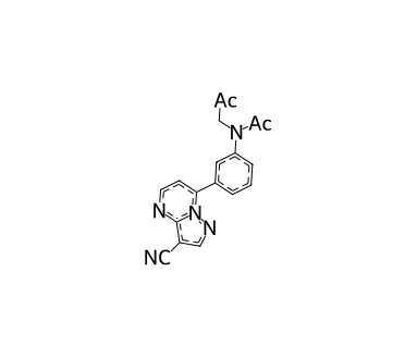 CC(=O)CN(C(C)=O)c1cccc(-c2ccnc3c(C#N)cnn23)c1